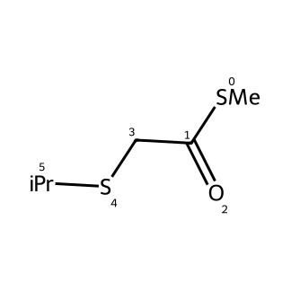 CSC(=O)CSC(C)C